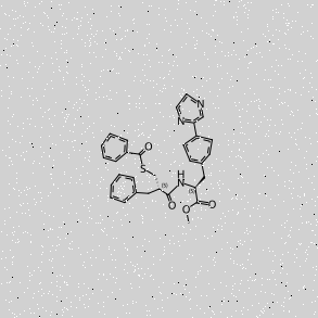 COC(=O)[C@H](Cc1ccc(-c2cnccn2)cc1)NC(=O)[C@@H](CSC(=O)c1ccccc1)Cc1ccccc1